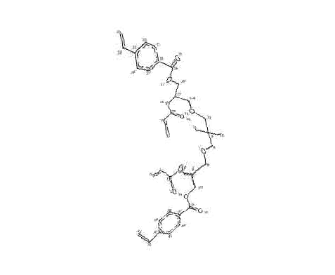 C=CC(=O)OC(COCC(C)(C)COCC(COC(=O)c1ccc(C=C)cc1)OC(=O)C=C)COC(=O)c1ccc(C=C)cc1